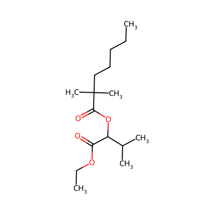 CCCCCC(C)(C)C(=O)OC(C(=O)OCC)C(C)C